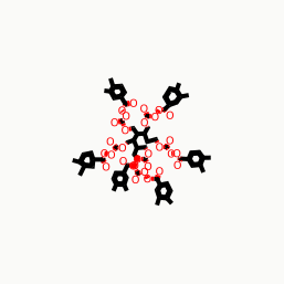 Cc1ccc(C(=O)OOC(=O)OCCC(COC(=O)OOC(=O)c2ccc(C)c(C)c2)C(COC(=O)OOC(=O)c2ccc(C)c(C)c2)C(COC(=O)OOC(=O)c2ccc(C)c(C)c2)C(CCOC(=O)OOC(=O)c2ccc(C)c(C)c2)COC(=O)OOC(=O)c2ccc(C)c(C)c2)cc1C